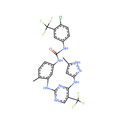 Cc1cc(Nc2nc(Nc3cc(NC(=O)Nc4ccc(Cl)c(C(F)(F)F)c4)ccc3C)ncc2C(F)(F)F)n[nH]1